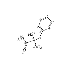 N[C@@](S)(Cc1ccccc1)C(=O)O